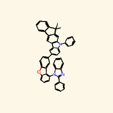 CC1(C)c2ccccc2-c2cc3c4cc(-c5ccc6oc7cccc(-n8c(-c9ccccc9)nc9ccccc98)c7c6c5)ccc4n(-c4ccccc4)c3cc21